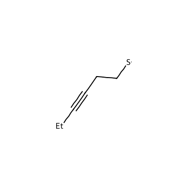 [CH2]CC#CCC[S]